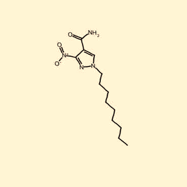 CCCCCCCCCn1cc(C(N)=O)c([N+](=O)[O-])n1